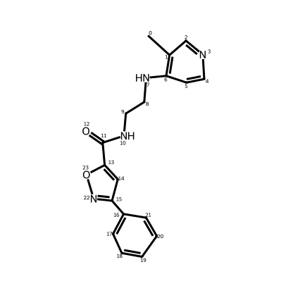 Cc1cnccc1NCCNC(=O)c1cc(-c2ccccc2)no1